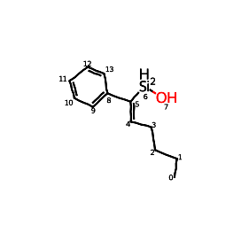 CCCCC=C([SiH2]O)c1ccccc1